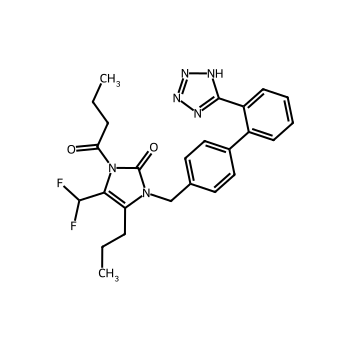 CCCC(=O)n1c(C(F)F)c(CCC)n(Cc2ccc(-c3ccccc3-c3nnn[nH]3)cc2)c1=O